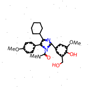 CNC(=O)n1c(-c2cc(CO)c(O)c(OC)c2)nc(C2CCCCC2)c1-c1ccc(OC)cc1